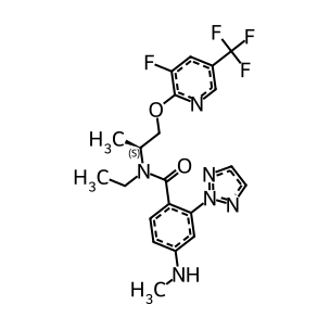 CCN(C(=O)c1ccc(NC)cc1-n1nccn1)[C@@H](C)COc1ncc(C(F)(F)F)cc1F